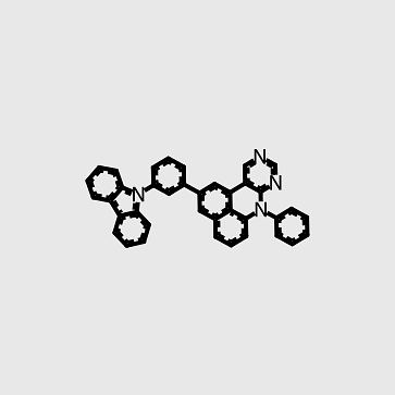 c1ccc(N2c3ncncc3-c3cc(-c4cccc(-n5c6ccccc6c6ccccc65)c4)cc4cccc2c34)cc1